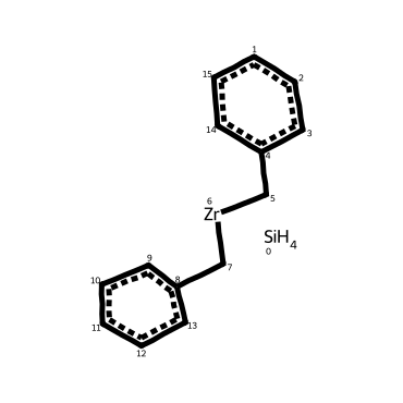 [SiH4].c1ccc([CH2][Zr][CH2]c2ccccc2)cc1